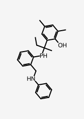 CCC(C)(Pc1ccccc1CNc1ccccc1)c1cc(C)cc(C)c1O